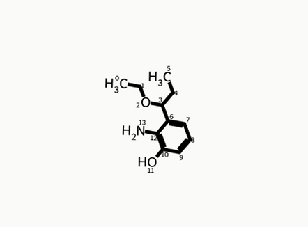 CCOC(CC)c1cccc(O)c1N